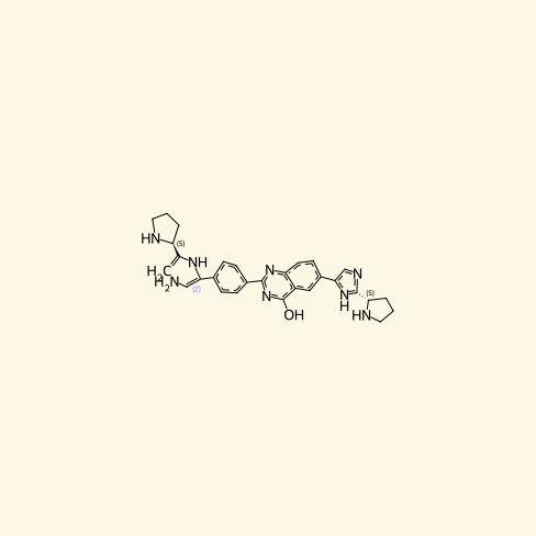 C=C(N/C(=C\N)c1ccc(-c2nc(O)c3cc(-c4cnc([C@@H]5CCCN5)[nH]4)ccc3n2)cc1)[C@@H]1CCCN1